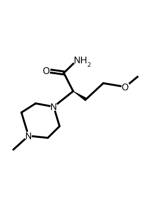 COCC[C@H](C(N)=O)N1CCN(C)CC1